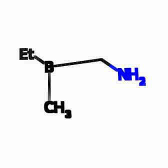 CCB(C)CN